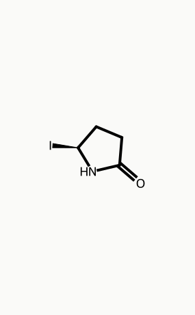 O=C1CC[C@H](I)N1